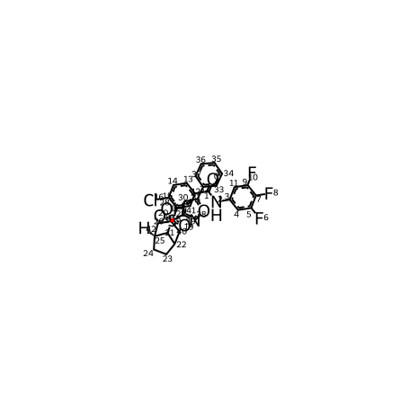 O=C(Nc1cc(F)c(F)c(F)c1)c1ccc(Cl)c(S(=O)(=O)C2C3CC[C@@H]2CC(O)(c2cc(-c4ccccc4)on2)C3)c1